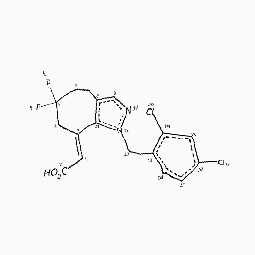 O=C(O)/C=C1\CC(F)(F)Cc2cnn(Cc3ccc(Cl)cc3Cl)c21